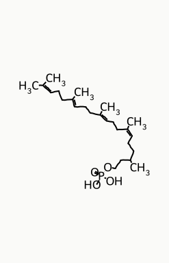 CC(C)=CCC/C(C)=C/CC/C(C)=C/CC/C(C)=C\CCC(C)CCOP(=O)(O)O